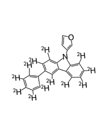 [2H]c1c([2H])c([2H])c(-c2c([2H])c([2H])c3c(c2[2H])c2c([2H])c([2H])c([2H])c([2H])c2n3-c2ccoc2)c([2H])c1[2H]